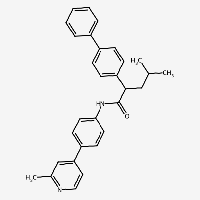 Cc1cc(-c2ccc(NC(=O)C(CC(C)C)c3ccc(-c4ccccc4)cc3)cc2)ccn1